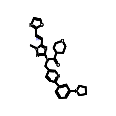 Cn1nc(N(Cc2ccc(-c3cccc(N4CCCC4)c3)nc2)C(=O)C2CCOCC2)nc1/C=C/c1ncco1